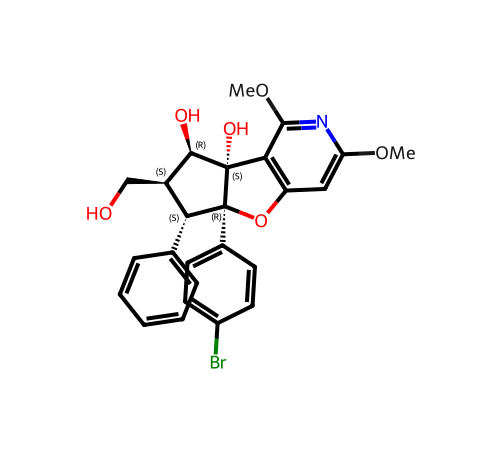 COc1cc2c(c(OC)n1)[C@]1(O)[C@H](O)[C@H](CO)[C@@H](c3ccccc3)[C@]1(c1ccc(Br)cc1)O2